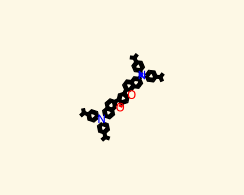 CC(C)c1ccc(N(c2ccc(C(C)C)cc2)c2ccc3c(ccc4c5cc6c(cc5oc34)oc3c4ccc(N(c5ccc(C(C)C)cc5)c5ccc(C(C)C)cc5)cc4ccc63)c2)cc1